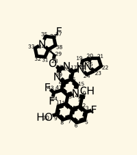 C#Cc1c(F)ccc2cc(O)cc(-c3ncc4c(N5CC6CCC(C5)N6)nc(OC[C@@]56CCCN5C[C@H](F)C6)nc4c3C(F)F)c12